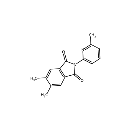 Cc1cccc(N2C(=O)c3cc(C)c(C)cc3C2=O)n1